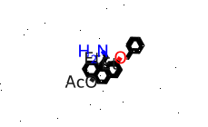 CCC(CC)(CN)C12CCCCC1(OC(C)=O)CCc1ccc(OCc3ccccc3)cc12